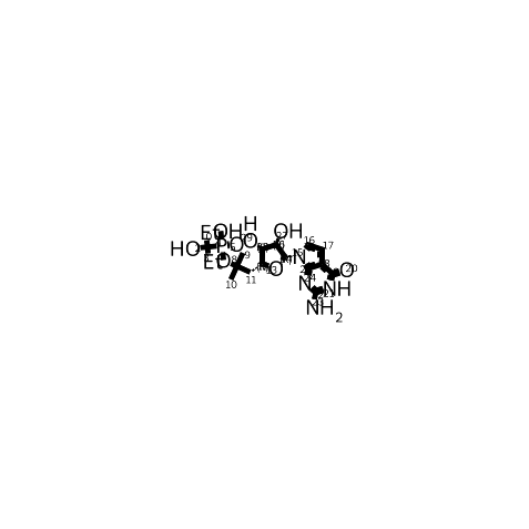 CCC(O)(CC)P(=O)(O)OC(C)(C)C[C@H]1O[C@@H](n2ccc3c(=O)[nH]c(N)nc32)[C@H](O)[C@@H]1O